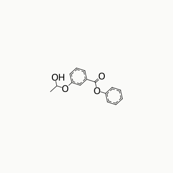 CC(O)Oc1cccc(C(=O)Oc2ccccc2)c1